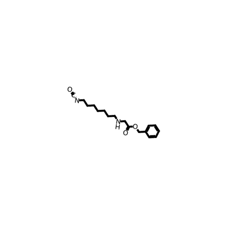 O=C=NCCCCCCCNCC(=O)OCc1ccccc1